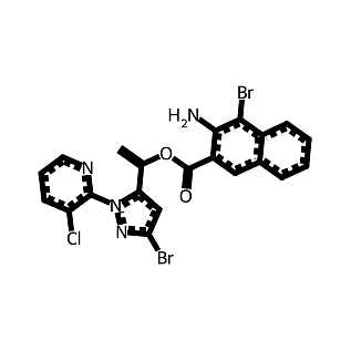 C=C(OC(=O)c1cc2ccccc2c(Br)c1N)c1cc(Br)nn1-c1ncccc1Cl